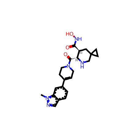 Cn1ncc2ccc(C3=CCN(C(=O)[C@H]4NCC5(CC5)C[C@@H]4C(=O)NO)CC3)cc21